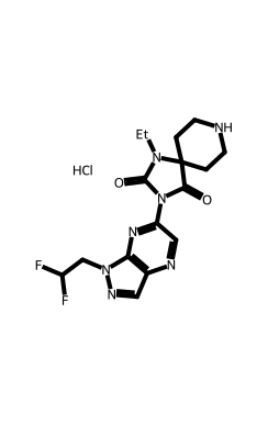 CCN1C(=O)N(c2cnc3cnn(CC(F)F)c3n2)C(=O)C12CCNCC2.Cl